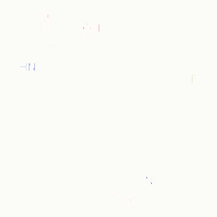 Cc1cc(C2(O)C(=O)Nc3ccc(-c4c(C)noc4C)cc32)ccc1F